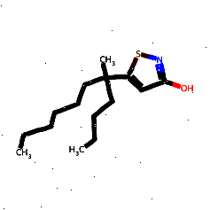 CCCCCCC(C)(CCCC)c1cc(O)ns1